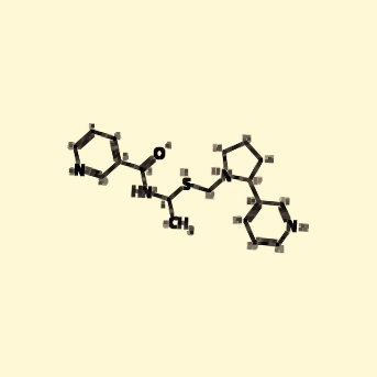 CC(NC(=O)c1cccnc1)SCN1CCCC1c1cccnc1